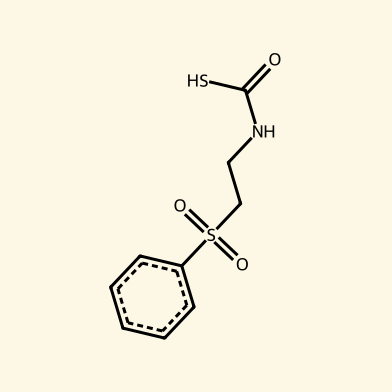 O=C(S)NCCS(=O)(=O)c1ccccc1